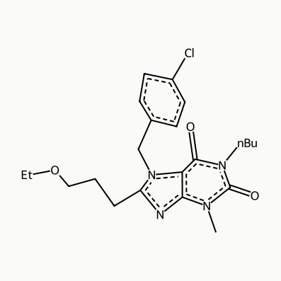 CCCCn1c(=O)c2c(nc(CCCOCC)n2Cc2ccc(Cl)cc2)n(C)c1=O